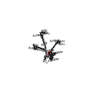 COc1ccc(C(OCC(OC(=O)CCC(=O)O)C(=O)N(CCCCN(CCCNC(=O)CCCCCCO[C@@H]2OC(COC(C)=O)[C@H](OC(C)=O)[C@H](C)C2NC(C)=O)C(=O)CCCCCCO[C@@H]2OC(COC(C)=O)[C@H](OC(C)=O)[C@H](C)C2NC(C)=O)CCCNC(=O)CCCCCCO[C@@H]2OC(COC(C)=O)[C@H](OC(C)=O)[C@H](C)C2NC(C)=O)(c2ccccc2)c2ccc(OC)cc2)cc1